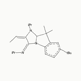 C/C=C1\C(=N/C(C)C)N2c3ccc(C(C)(C)C)cc3C(C)(C)C2N1C(C)C